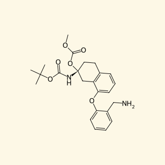 COC(=O)O[C@]1(NC(=O)OC(C)(C)C)CCc2cccc(Oc3ccccc3CN)c2C1